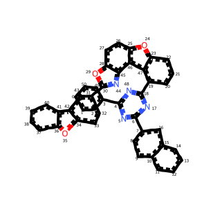 c1ccc(-c2nc(-c3ccc4ccccc4c3)nc(-c3cccc4oc5ccc6oc(-c7ccc8oc9ccccc9c8c7)nc6c5c34)n2)cc1